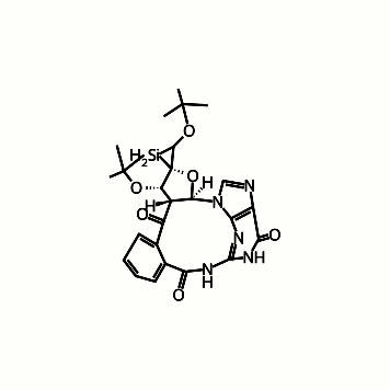 CC(C)(C)OC1[SiH2][C@@]12O[C@@H]1[C@H](C(=O)c3ccccc3C(=O)Nc3nc4c(ncn41)c(=O)[nH]3)[C@@H]2OC(C)(C)C